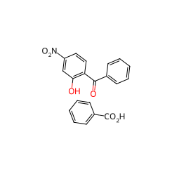 O=C(O)c1ccccc1.O=C(c1ccccc1)c1ccc([N+](=O)[O-])cc1O